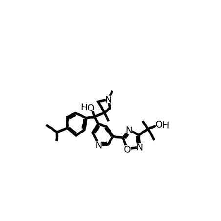 CC(C)c1ccc(C(O)(c2cncc(-c3nc(C(C)(C)O)no3)c2)C2(C)CN(C)C2)cc1